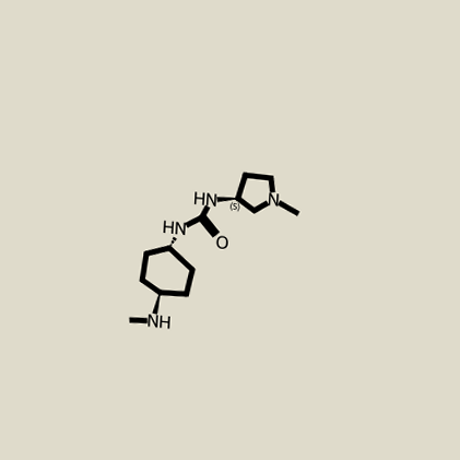 CN[C@H]1CC[C@H](NC(=O)N[C@H]2CCN(C)C2)CC1